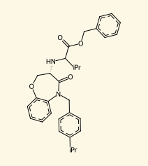 CC(C)c1ccc(CN2C(=O)[C@@H](NC(C(=O)OCc3ccccc3)C(C)C)COc3ccccc32)cc1